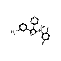 CC(=O)N(c1cc(F)ccc1F)c1onc(-c2cccc(C)c2)c1-c1ccncn1